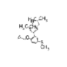 CSc1ccc(OCC2CC2)c(/C(C=C(C)C)=C/N(C=O)CC(C)C)c1